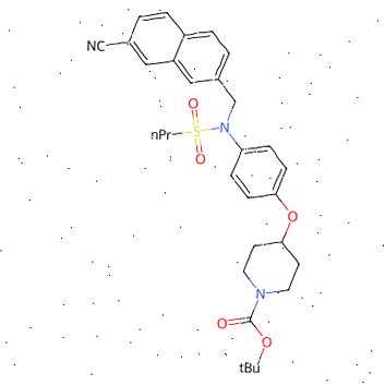 CCCS(=O)(=O)N(Cc1ccc2ccc(C#N)cc2c1)c1ccc(OC2CCN(C(=O)OC(C)(C)C)CC2)cc1